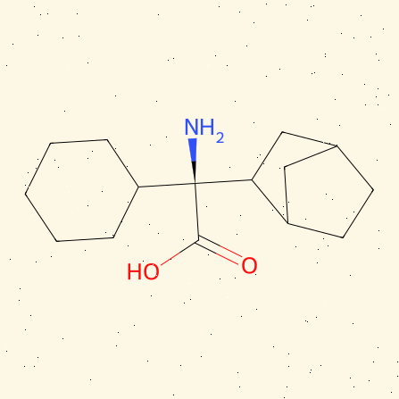 N[C@@](C(=O)O)(C1CCCCC1)C1CC2CCC1C2